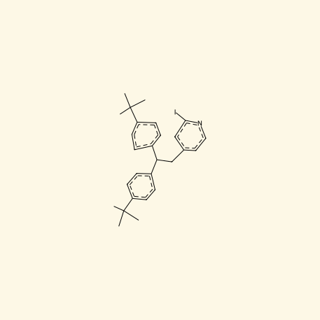 CC(C)(C)c1ccc(C(Cc2ccnc(I)c2)c2ccc(C(C)(C)C)cc2)cc1